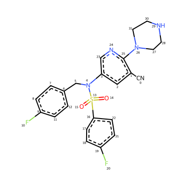 N#Cc1cc(N(Cc2ccc(F)cc2)S(=O)(=O)c2ccc(F)cc2)cnc1N1CCNCC1